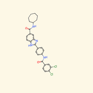 O=C(Nc1ccc(-c2nc3cc(C(=O)NC4CCCCCC4)ccc3[nH]2)cc1)c1ccc(Cl)c(Cl)c1